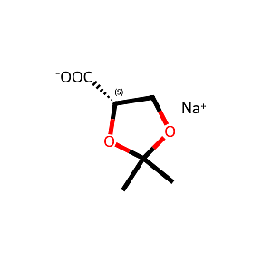 CC1(C)OC[C@@H](C(=O)[O-])O1.[Na+]